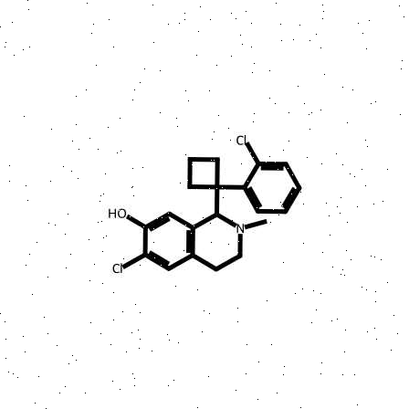 CN1CCc2cc(Cl)c(O)cc2C1C1(c2ccccc2Cl)CCC1